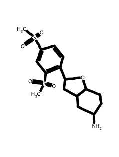 CS(=O)(=O)c1ccc(C2CC3CC(N)CCC3O2)c(S(C)(=O)=O)c1